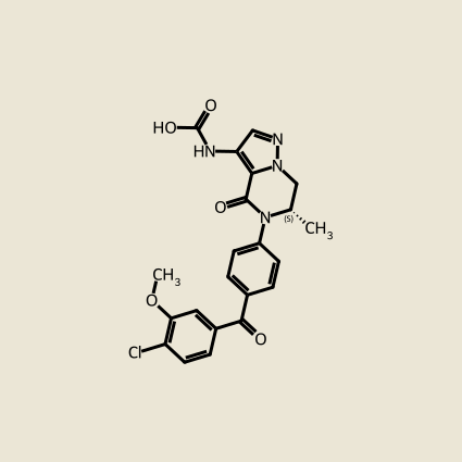 COc1cc(C(=O)c2ccc(N3C(=O)c4c(NC(=O)O)cnn4C[C@@H]3C)cc2)ccc1Cl